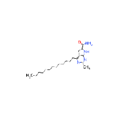 CCCCCCCCCCCCCc1nc(C)nc2c1CC(C(N)=O)N2